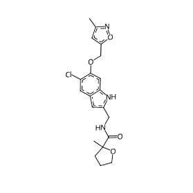 Cc1cc(COc2cc3[nH]c(CNC(=O)C4(C)CCCO4)cc3cc2Cl)on1